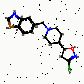 BrC1=NOC(C2CCN(Cc3ccc4scnc4c3)CC2)C1